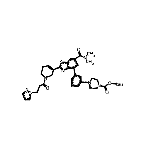 CN(C)C(=O)c1cc(-c2cccc(N3CCN(C(=O)OC(C)(C)C)CC3)c2)c2nc(C3=CCCN(C(=O)CCn4cccn4)C3)sc2c1